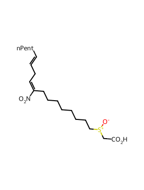 CCCCCC=CCC=C(CCCCCCCC[S+]([O-])CC(=O)O)[N+](=O)[O-]